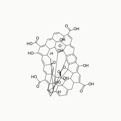 O=C(O)C1=CC2=Cc3cc4c5c6c3[C@]37O[C@]23C2=C1C=CC1=CC3=C(C(=O)O)C(O)=C8C=C9C=C%10C(C(=O)O)=C%11C=CC%12=CC=C%13CC%14C(C(=O)O)=CC(=C4O)C4C%14[C@@]%14(O)C%13(O)C%12C%11[C@]%11%12O[C@]%14%11COC54CC4=C6[C@@H]5C7[C@@](O)(C3[C@H]8[C@@]53O[C@@]93C4=C%10%12)[C@@]12O